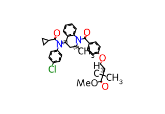 COC(=O)C(C)(C)CCOc1ccc(C(=O)N2c3ccccc3[C@H](N(C(=O)C3CC3)c3ccc(Cl)cc3)C[C@@H]2C)cc1